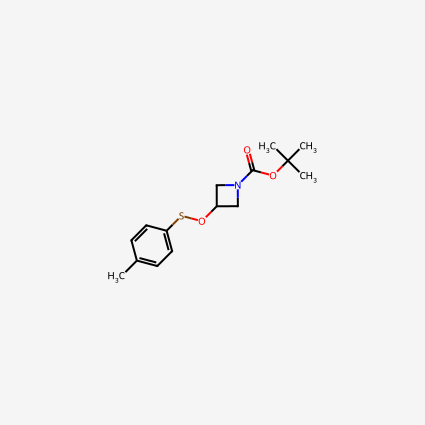 Cc1ccc(SOC2CN(C(=O)OC(C)(C)C)C2)cc1